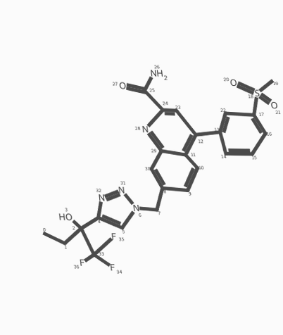 CCC(O)(c1cn(Cc2ccc3c(-c4cccc(S(C)(=O)=O)c4)cc(C(N)=O)nc3c2)nn1)C(F)(F)F